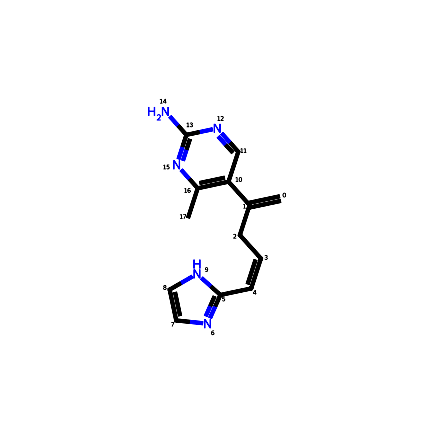 C=C(C/C=C\c1ncc[nH]1)c1cnc(N)nc1C